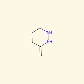 C=C1CCCNN1